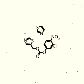 Cl.O=C(OCc1cncs1)Oc1ccc([N+](=O)[O-])cc1.c1cscn1